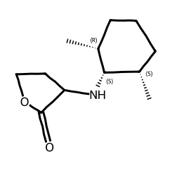 C[C@@H]1CCC[C@H](C)[C@@H]1NC1CCOC1=O